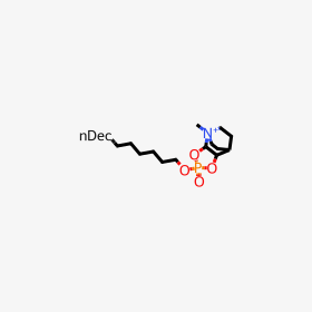 CCCCCCCCCCCCCCCCOP1(=O)OC2C3CC[N+](C)(CC3)C2O1